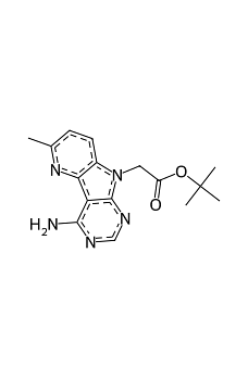 Cc1ccc2c(n1)c1c(N)ncnc1n2CC(=O)OC(C)(C)C